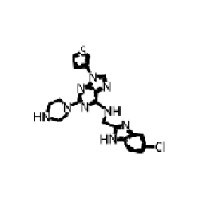 Clc1ccc2[nH]c(CNc3nc(N4CCNCC4)nc4c3ncn4-c3ccsc3)nc2c1